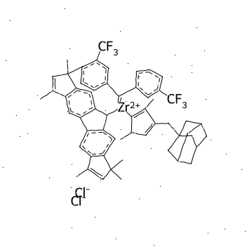 CC1=CC(C)(C)c2cc3c(cc21)-c1cc2c(cc1[CH]3[Zr+2]([C]1=C(C)C(CC34CC5CC(CC(C5)C3)C4)=CC1C)=[C](c1cccc(C(F)(F)F)c1)c1cccc(C(F)(F)F)c1)C(C)(C)C=C2C.[Cl-].[Cl-]